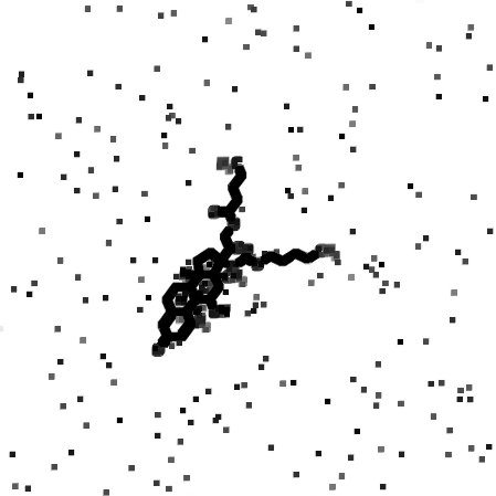 CCCCCOC(=O)O[C@]1(C(=O)COC(=O)CCCC)CC[C@H]2[C@@H]3CCC4=CC(=O)C=C[C@]4(C)[C@@]3(Cl)C(O)C[C@@]21C